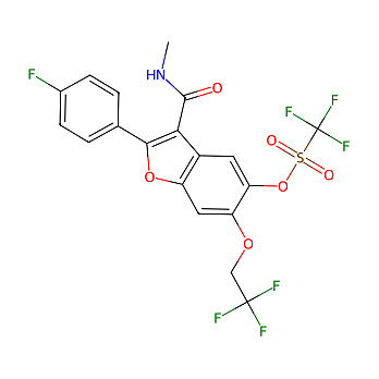 CNC(=O)c1c(-c2ccc(F)cc2)oc2cc(OCC(F)(F)F)c(OS(=O)(=O)C(F)(F)F)cc12